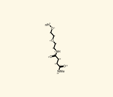 CCCOCCOCCNC(=O)CCC(=O)NC